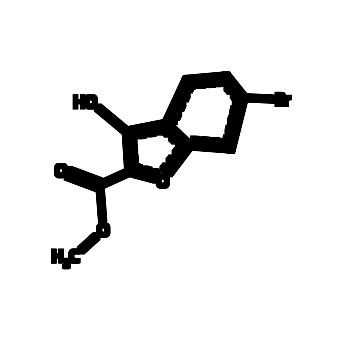 COC(=O)c1oc2cc(Br)ccc2c1O